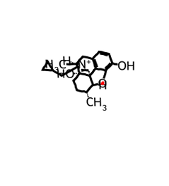 C[C@@H]1CC[C@@]2(O)[C@H]3Cc4ccc(O)c5c4[C@@]2(CC[N+]3(C)CC2CC2)[C@H]1O5